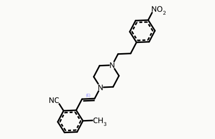 Cc1cccc(C#N)c1/C=C/N1CCN(CCc2ccc([N+](=O)[O-])cc2)CC1